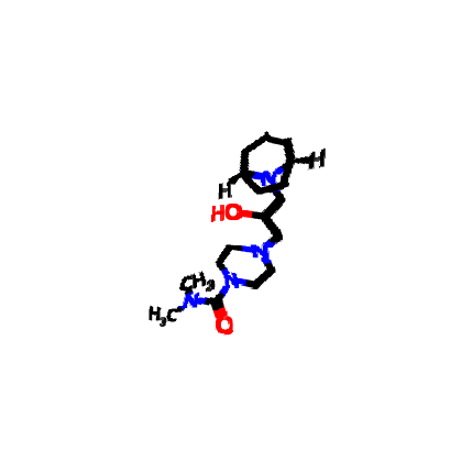 CN(C)C(=O)N1CCN(CC(O)CN2[C@@H]3C[CH]C[C@H]2CC3)CC1